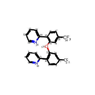 FC(F)(F)c1ccc(-c2ccccn2)c(Oc2cc(C(F)(F)F)ccc2-c2ccccn2)c1